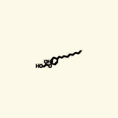 CCCCCCCCCC1C=CC(OC(O)CO)=CC1